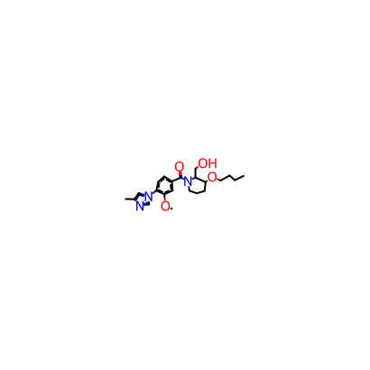 CCCCOC1CCCN(C(=O)c2ccc(-n3cnc(C)c3)c(OC)c2)C1CO